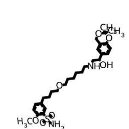 COc1ccc(CCCCOCCCCCCNC[C@H](O)c2ccc3c(c2)COC(C)(C)O3)cc1S(N)(=O)=O